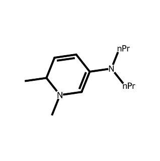 CCCN(CCC)C1=CN(C)C(C)C=C1